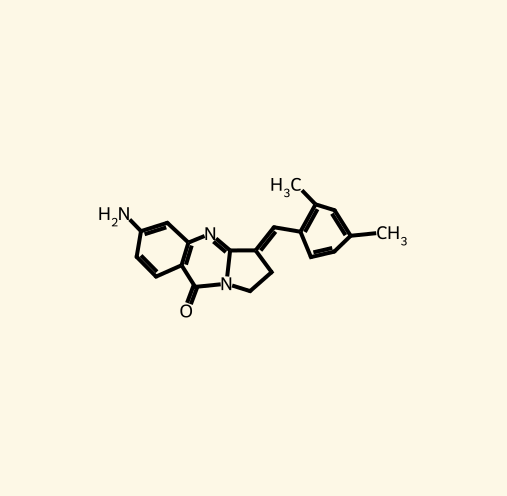 Cc1ccc(C=C2CCn3c2nc2cc(N)ccc2c3=O)c(C)c1